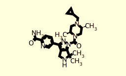 C[C@@H]1CN(C(=O)n2nc(-c3ccc(C(N)=O)nc3)c3c2C(C)(C)NC3)[C@@H](C)CN1CC1CC1